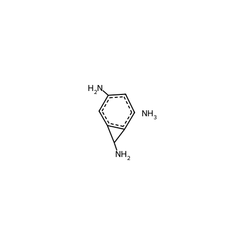 N.Nc1ccc2c(c1)C2N